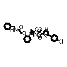 O=C(COc1ccccc1[C@@H]1C[C@]1(NS(=O)(=O)c1ccc(-c2ccc(Cl)cc2)s1)C(=O)O)NCc1ccccc1